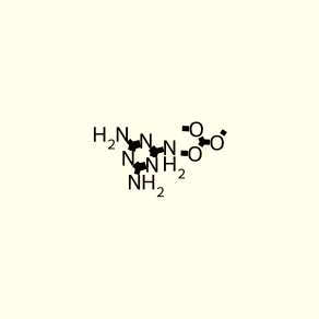 COC(OC)OC.Nc1nc(N)nc(N)n1